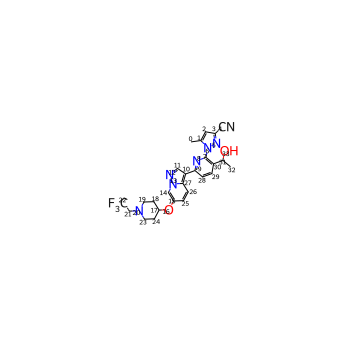 Cc1cc(C#N)nn1-c1nc(-c2cnn3cc(OC4CCN(CC(F)(F)F)CC4)ccc23)ccc1C(C)O